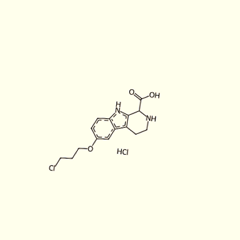 Cl.O=C(O)C1NCCc2c1[nH]c1ccc(OCCCCl)cc21